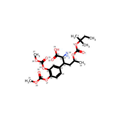 CCC(C)(C)OC(=O)OC(C)CC(c1ccc(OC(=O)OC)c(OC(=O)OC)c1)[C@H](N)C(=O)O